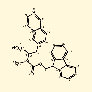 CN(C(=O)OCC1c2ccccc2-c2ccccc21)[C@H](Cc1ccc2cnccc2c1)C(=O)O